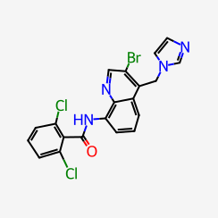 O=C(Nc1cccc2c(Cn3ccnc3)c(Br)cnc12)c1c(Cl)cccc1Cl